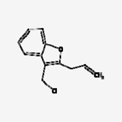 C=CCc1oc2ccccc2c1CCl